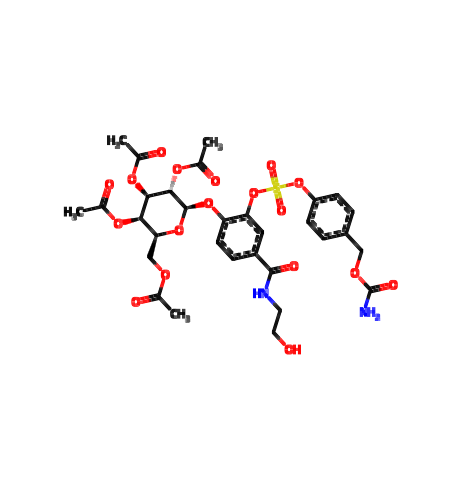 CC(=O)OC[C@@H]1O[C@H](Oc2ccc(C(=O)NCCO)cc2OS(=O)(=O)Oc2ccc(COC(N)=O)cc2)[C@@H](OC(C)=O)[C@H](OC(C)=O)[C@@H]1OC(C)=O